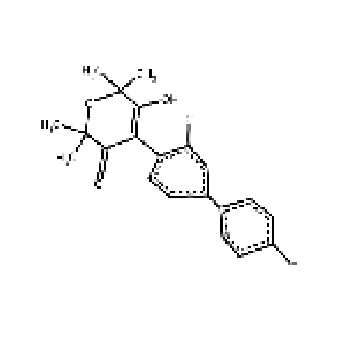 CC1(C)OC(C)(C)C(O)=C(c2ccc(-c3ccc(F)cc3)cc2Cl)C1=O